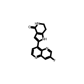 O=C1NCCc2[nH]c(-c3ccnc4cc(F)cnc34)cc21